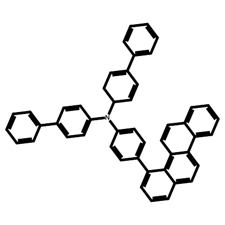 C1=CC(N(c2ccc(-c3ccccc3)cc2)c2ccc(-c3cccc4ccc5c6ccccc6ccc5c34)cc2)CC=C1c1ccccc1